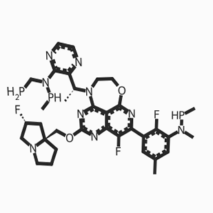 CPN(C)c1cc(C)cc(-c2nc3c4c(nc(OC[C@@]56CCCN5C[C@H](F)C6)nc4c2F)N([C@H](C)c2nccnc2N(CP)PC)CCO3)c1F